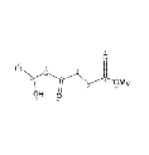 CCC(O)OC(=O)CCC(=O)OC